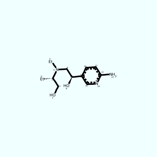 CC[C@@H](CO)N(CC)C[C@H](O)c1ccc(N)nc1